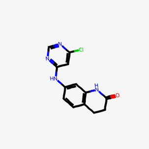 O=C1CCc2ccc(Nc3cc(Cl)ncn3)cc2N1